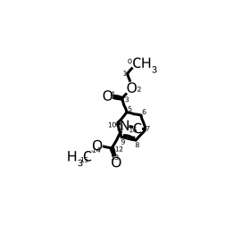 CCOC(=O)C1CC2C=CC1N(C(=O)OC)C2